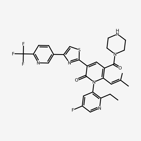 CCc1ncc(F)cc1-n1c(C=C(C)C)c(C(=O)N2CCNCC2)cc(-c2nc(-c3ccc(C(F)(F)F)nc3)cs2)c1=O